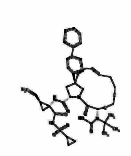 C=C[C@@H]1C[C@]1(NC(=O)[C@@H]1C[C@@]2(c3ccc(-c4ccccc4)cc3)CN1C(=O)[C@@H](N(C(=O)O)C(C)(C)C)CCCCC/C=C/CS2)C(=O)NS(=O)(=O)C1CC1